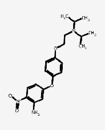 CC(C)N(CCOc1ccc(Oc2ccc([N+](=O)[O-])c(N)c2)cc1)C(C)C